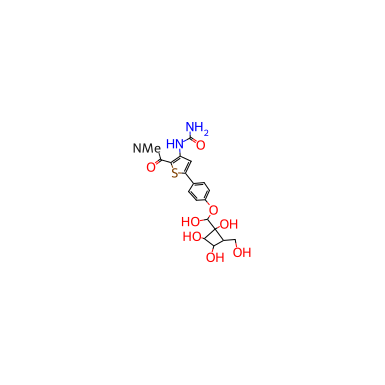 CNC(=O)c1sc(-c2ccc(OC(O)C3(O)C(O)C(O)C3CO)cc2)cc1NC(N)=O